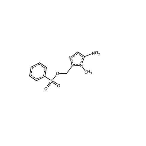 Cn1c([N+](=O)[O-])cnc1COS(=O)(=O)c1ccccc1